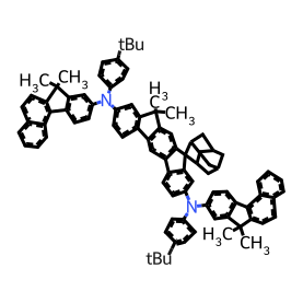 CC(C)(C)c1ccc(N(c2ccc3c(c2)C(C)(C)c2cc4c(cc2-3)-c2ccc(N(c3ccc(C(C)(C)C)cc3)c3ccc5c(c3)C(C)(C)c3ccc6ccccc6c3-5)cc2C42C3CC4CC(C3)CC2C4)c2ccc3c(c2)C(C)(C)c2ccc4ccccc4c2-3)cc1